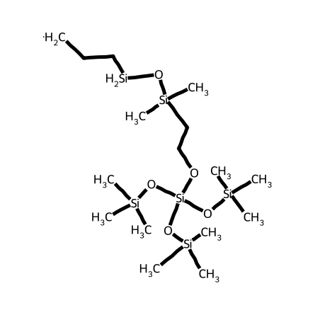 [CH2]CC[SiH2]O[Si](C)(C)CCO[Si](O[Si](C)(C)C)(O[Si](C)(C)C)O[Si](C)(C)C